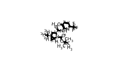 [2H]C([2H])([2H])[C@@]12C[C@@H](C(=O)Nc3nc(C(F)(F)F)ccc3C)N(C(=O)OC(C)(C)C)[C@@H]1C2